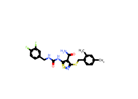 Cc1ccc(CSc2nsc(NC(=O)NCc3ccc(F)c(F)c3)c2C(N)=O)c(C)c1